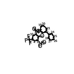 O=[N+]([O-])c1cc(C(F)(F)F)cc([N+](=O)[O-])c1Oc1ccccc1-c1ccccc1